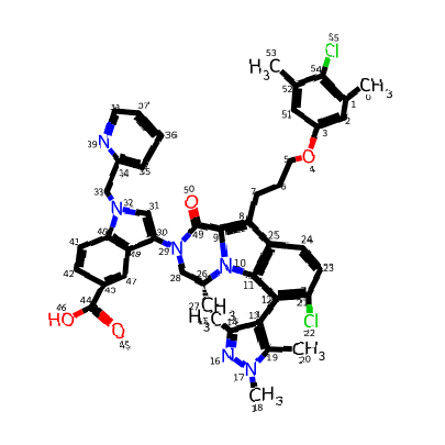 Cc1cc(OCCCc2c3n(c4c(-c5c(C)nn(C)c5C)c(Cl)ccc24)[C@H](C)CN(c2cn(Cc4ccccn4)c4ccc(C(=O)O)cc24)C3=O)cc(C)c1Cl